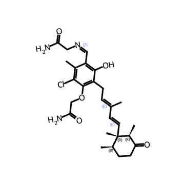 CC(/C=C/[C@@]1(C)[C@H](C)CCC(=O)[C@@H]1C)=C\Cc1c(O)c(/C=N\CC(N)=O)c(C)c(Cl)c1OCC(N)=O